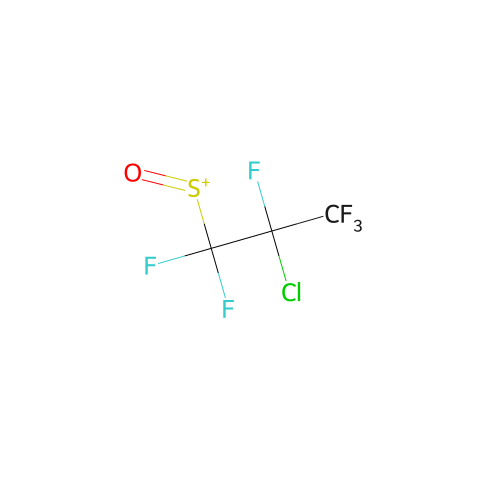 O=[S+]C(F)(F)C(F)(Cl)C(F)(F)F